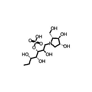 CC[C@H](O)[C@@H](O)[C@H](OS(=O)(=O)O)[C@H](O)CN1C[C@@H](O)[C@H](O)[C@H]1CO